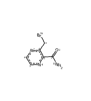 NC(=O)c1nccnc1CBr